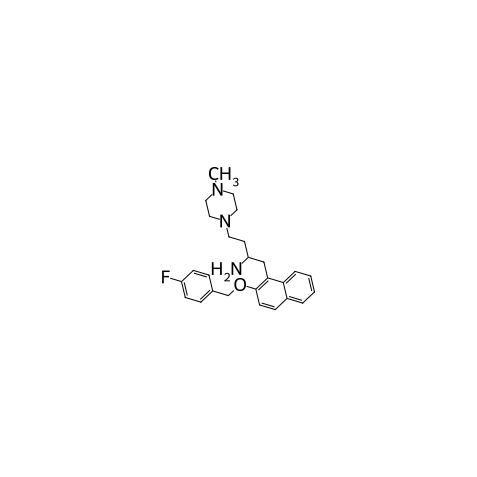 CN1CCN(CCC(N)Cc2c(OCc3ccc(F)cc3)ccc3ccccc23)CC1